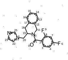 O=C(c1ccc(F)cc1F)N1Cc2ccccc2CC1Cn1ccnc1